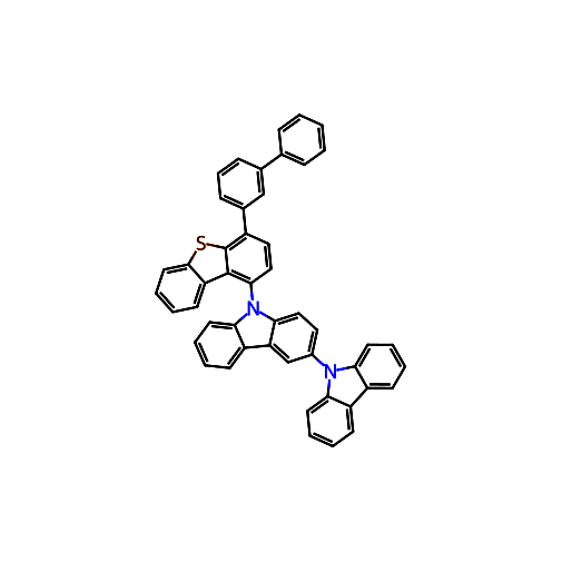 c1ccc(-c2cccc(-c3ccc(-n4c5ccccc5c5cc(-n6c7ccccc7c7ccccc76)ccc54)c4c3sc3ccccc34)c2)cc1